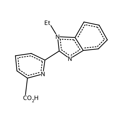 CCn1c(-c2cccc(C(=O)O)n2)nc2ccccc21